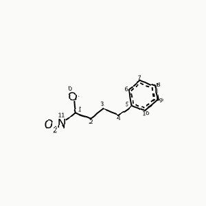 [O]C(CCCc1ccccc1)[N+](=O)[O-]